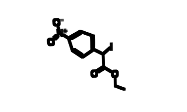 CCOC(=O)C(I)c1ccc([N+](=O)[O-])cc1